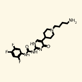 NCCCCN1CCC(c2c[nH]c(NC(=O)Nc3cc(F)c(F)cc3F)nc2=O)CC1